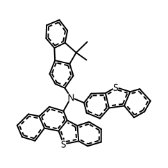 CC1(C)c2ccccc2-c2ccc(N(c3ccc4c(c3)sc3ccccc34)c3cc4ccccc4c4sc5ccccc5c34)cc21